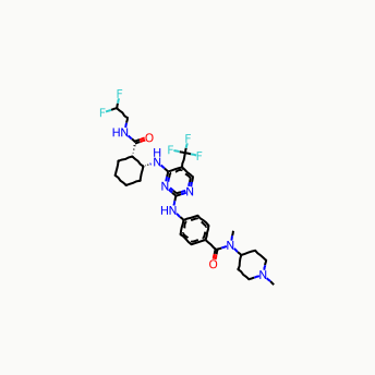 CN1CCC(N(C)C(=O)c2ccc(Nc3ncc(C(F)(F)F)c(N[C@@H]4CCCC[C@@H]4C(=O)NCC(F)F)n3)cc2)CC1